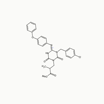 COC(=O)C(C)Cn1c(=O)[nH]/c(=N\c2ccc(Oc3ccccc3)cc2)n(Cc2ccc(Cl)cc2)c1=O